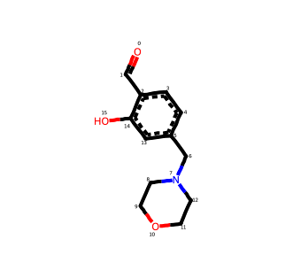 O=Cc1ccc(CN2CCOCC2)cc1O